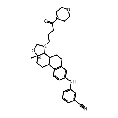 C[C@]12CCC3c4ccc(Nc5cccc(C#N)c5)cc4CCC3C1[C@@H](CCCC(=O)N1CCOCC1)CO2